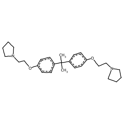 CC(C)(c1ccc(OCCN2CCCC2)cc1)c1ccc(OCCN2CCCC2)cc1